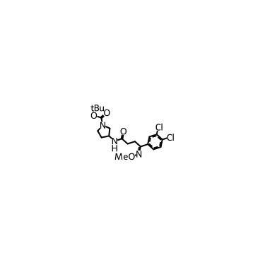 CON=C(CCC(=O)NC1CCN(C(=O)OC(C)(C)C)C1)c1ccc(Cl)c(Cl)c1